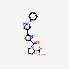 O=C(O)[C@H]1CCCN1C(=O)c1csc(-c2cnn(-c3ccccc3)c2)n1